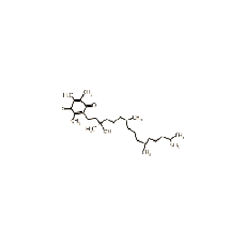 CC1=C(C)C(=O)C(CC[C@](C)(O)CCC[C@@H](C)CCCC(C)CCCC(C)C)=C(C)C1=O